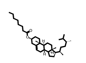 CCCCCCCC(=O)O[C@H]1CC[C@@]2(C)C(=CC[C@H]3[C@@H]4CC[C@H]([C@H](C)CC[C@@H](C)C(C)C)[C@@]4(C)CC[C@@H]32)C1